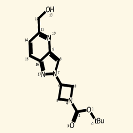 CC(C)(C)OC(=O)N1CC(n2cc3nc(CO)ccc3n2)C1